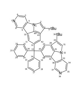 CC(C)(C)c1cn2c3ccncc3c3cc(C(c4ccccc4)(c4ccccc4)c4cc5c(C(C)(C)C)cn6c7ccncc7c(c4)c56)cc1c32